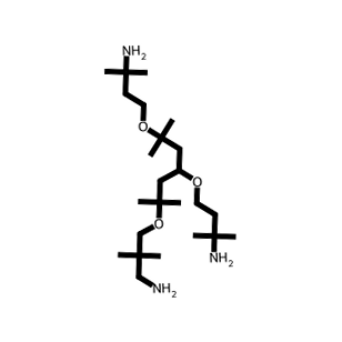 CC(C)(N)CCOC(CC(C)(C)OCCC(C)(C)N)CC(C)(C)OCC(C)(C)CN